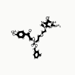 COc1ccc(C(=O)COP(=O)(CCOCCn2cnc3c(=O)[nH]c(N)nc32)OCc2cccc(F)c2)cc1